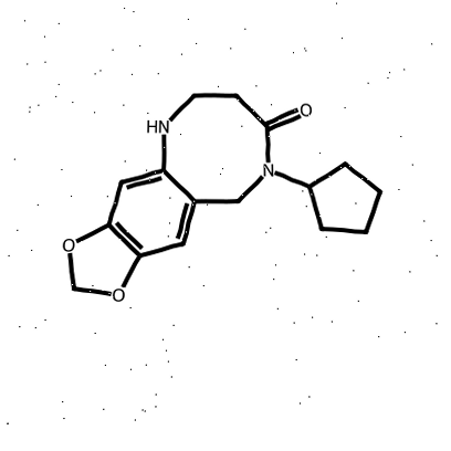 O=C1CCNc2cc3c(cc2CN1C1CCCC1)OCO3